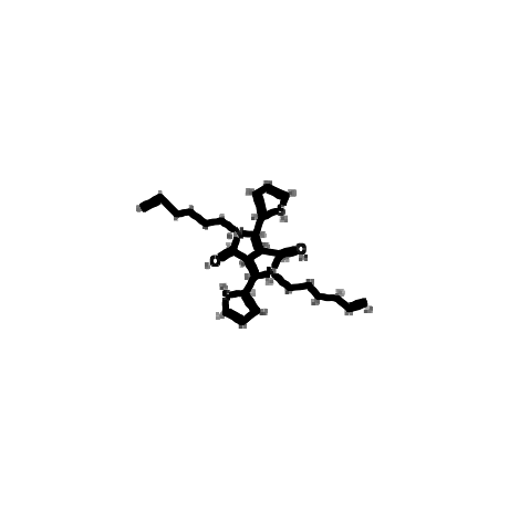 C=CCCCCN1C(=O)C2=C(c3cccs3)N(CCCCC=C)C(=O)C2=C1c1cccs1